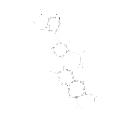 COc1cc2nc(C)nc(N[C@H](C)c3cccc(-c4cnc5n4CCC5)c3)c2cc1OC